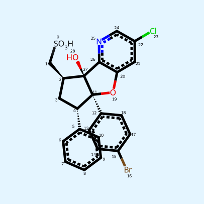 O=S(=O)(O)C[C@@H]1C[C@@H](c2ccccc2)[C@]2(c3ccc(Br)cc3)Oc3cc(Cl)cnc3[C@@]12O